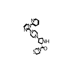 O=C([C@@H]1C[C@H](N2CCN(c3nccn3-c3ccccn3)CC2)CN1)N1CCSC1